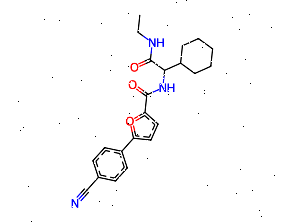 CCNC(=O)C(NC(=O)c1ccc(-c2ccc(C#N)cc2)o1)C1CCCCC1